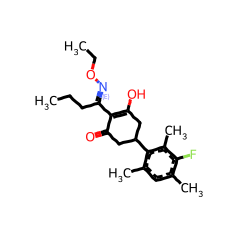 CCC/C(=N\OCC)C1=C(O)CC(c2c(C)cc(C)c(F)c2C)CC1=O